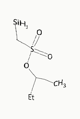 CCC(C)OS(=O)(=O)C[SiH3]